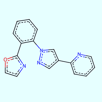 c1ccc(-c2cnn(-c3ccccc3-c3ncco3)c2)nc1